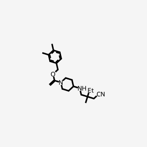 C=C(OCc1ccc(C)c(C)c1)N1CCC(NCC(C)(CC)CC#N)CC1